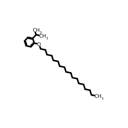 CCCCCCCCCCCCCCCCCCOc1ccccc1C(C)C